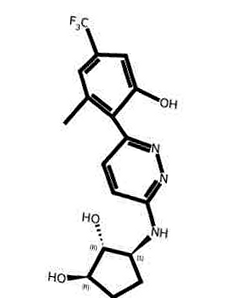 Cc1cc(C(F)(F)F)cc(O)c1-c1ccc(N[C@H]2CC[C@@H](O)[C@@H]2O)nn1